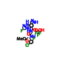 COC(=O)C[C@H](NC(=O)CNC(=O)c1cc(NC2=NCC(F)CN2)c2cn[nH]c2c1)c1cc(Cl)ccc1F.O=C(O)C(F)(F)F